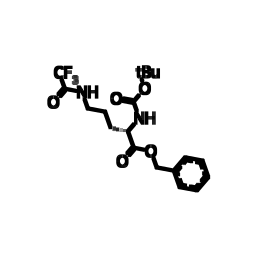 CC(C)(C)OC(=O)N[C@@H](CCCNC(=O)C(F)(F)F)C(=O)OCc1ccccc1